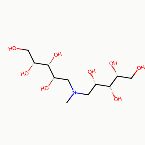 CN(C[C@H](O)[C@@H](O)[C@H](O)CO)C[C@H](O)[C@@H](O)[C@H](O)CO